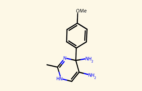 COc1ccc(C2(N)N=C(C)NC=C2N)cc1